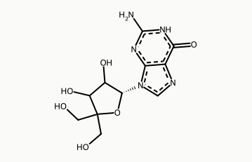 Nc1nc2c(ncn2[C@@H]2OC(CO)(CO)C(O)C2O)c(=O)[nH]1